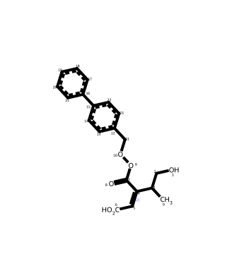 CC(CO)/C(=C/C(=O)O)C(=O)OOCc1ccc(-c2ccccc2)cc1